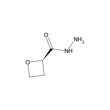 NNC(=O)[C@H]1CCO1